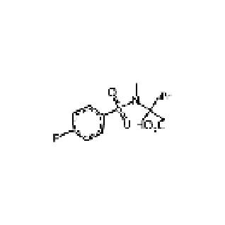 CC(C)C(C)(C(=O)O)N(C)S(=O)(=O)c1ccc(F)cc1